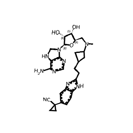 CN(C[C@H]1O[C@@H](N2CNc3c(N)ncnc32)[C@H](O)[C@@H]1O)C1CC(CCc2nc3cc(C4(C#N)CC4)ccc3[nH]2)C1